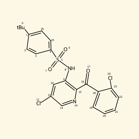 CC(C)(C)c1ccc(S(=O)(=O)Nc2cc(Cl)cnc2C(=O)c2ccccc2Cl)cc1